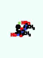 CC1CN(CC(=O)N2c3cc(Cc4ccc(F)cc4)c(CO)nc3OC[C@@H]2C)CCN1C(=O)O